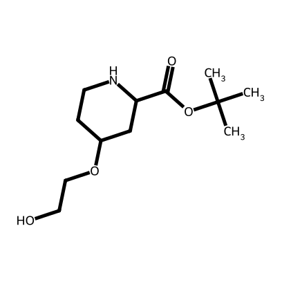 CC(C)(C)OC(=O)C1CC(OCCO)CCN1